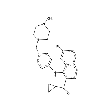 CN1CCN(Cc2ccc(Nc3c(C(=O)C4CC4)cnc4ccc(Br)cc34)cc2)CC1